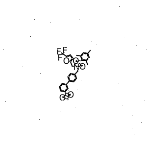 Cc1cc(C)c(S(=O)(=O)N(Cc2ccc(-c3cccc(S(C)(=O)=O)c3)cc2)Cc2ccc(C(F)(F)F)o2)c(C)c1